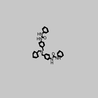 O=C(Nc1ccccc1)Nc1ccc(CN(Cc2ccccc2)Cc2ccc(NC(=O)Nc3ccccc3)cc2)cc1